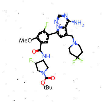 COc1cc(F)c(-c2cc(CN3CCC(F)(F)CC3)c3c(N)ncnn23)cc1C(=O)N[C@@H]1CN(C(=O)OC(C)(C)C)C[C@@H]1F